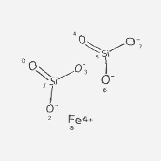 O=[Si]([O-])[O-].O=[Si]([O-])[O-].[Fe+4]